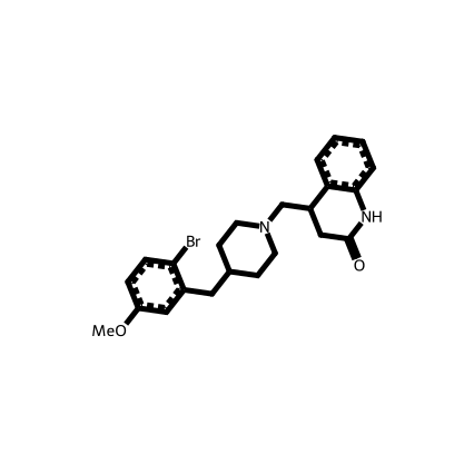 COc1ccc(Br)c(CC2CCN(CC3CC(=O)Nc4ccccc43)CC2)c1